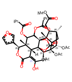 COC(=O)C[C@H]1[C@@]2(C)C[C@@]34O[C@]5(C)O[C@]6([C@@H]7/C(=C(/O)C(C)C)C(=O)O[C@@H](c8ccoc8)[C@]7(C)C(OC(=O)C(C)C)C(OC(=O)C(C)C)[C@]6(O5)[C@]13C)[C@H](OC(C)=O)[C@@]4(OC(C)=O)[C@H]2OC(C)=O